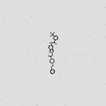 O=C(Nc1ccc2nn(CC(=O)N3CCN(CCc4ccccc4)CC3)cc2c1)c1cccc(C(F)(F)F)n1